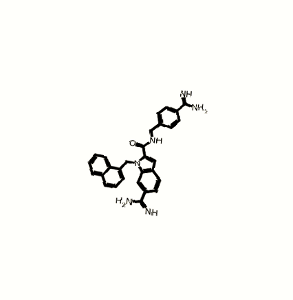 N=C(N)c1ccc(CNC(=O)c2cc3ccc(C(=N)N)cc3n2Cc2cccc3ccccc23)cc1